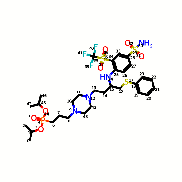 CC(C)OP(=O)(CCCN1CCN(CCC(CSc2ccccc2)Nc2ccc(S(N)(=O)=O)cc2S(=O)(=O)C(F)(F)F)CC1)OC(C)C